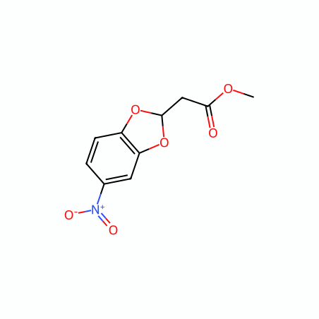 COC(=O)CC1Oc2ccc([N+](=O)[O-])cc2O1